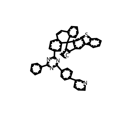 C1=Cc2ccc(-c3nc(-c4ccccc4)nc(-c4ccc(-c5cccnc5)cc4)n3)cc2C2(c3ccccc31)c1ccccc1-c1cc3c(cc12)sc1ccccc13